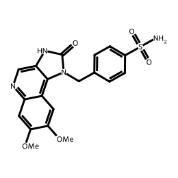 COc1cc2ncc3[nH]c(=O)n(Cc4ccc(S(N)(=O)=O)cc4)c3c2cc1OC